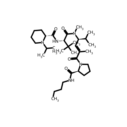 CCCCNC(=O)[C@@H]1CCCN1C(=O)/C(C)=C/[C@H](C(C)C)N(C)C(=O)[C@@H](NC(=O)[C@H]1CCCCN1C(C)C)C(C)(C)C